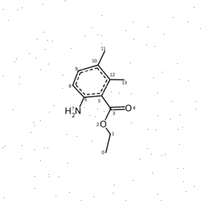 CCOC(=O)c1c(N)ccc(C)c1C